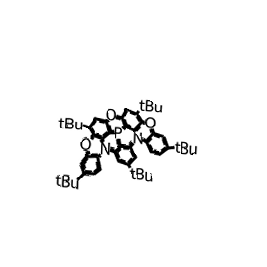 CC(C)(C)c1ccc2c(c1)oc1c(C(C)(C)C)cc3oc4cc(C(C)(C)C)c5oc6cc(C(C)(C)C)ccc6n6c7cc(C(C)(C)C)cc8c7p(c3c1n28)c4c56